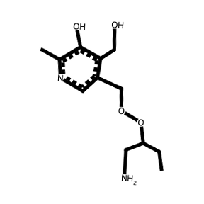 CCC(CN)OOCc1cnc(C)c(O)c1CO